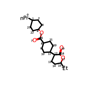 CCCC1CCC(OC(=O)C2CCC(C3CCC(CC)OC3=O)CC2)CC1